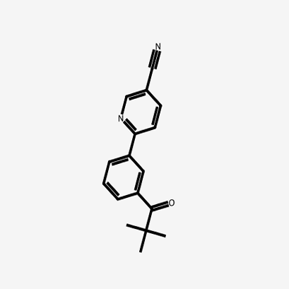 CC(C)(C)C(=O)c1cccc(-c2ccc(C#N)cn2)c1